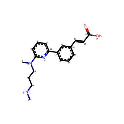 CNCCCN(C)c1cccc(-c2cccc(C=CC(=O)O)c2)n1